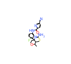 CC1OCCC2(c3cc(NC(=O)c4ccc(C#N)cn4)ccc3F)N=C(N)SCC12